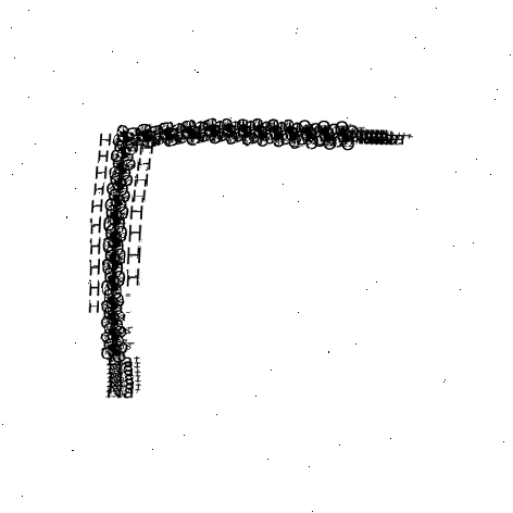 O=S(=O)(O)O.O=S(=O)(O)O.O=S(=O)(O)O.O=S(=O)(O)O.O=S(=O)(O)O.O=S(=O)(O)O.O=S(=O)(O)O.O=S(=O)(O)O.O=S(=O)(O)O.O=S(=O)(O)O.O=S(=O)(O)O.O=S(=O)(O)O.O=S(=O)(O)O.O=S(=O)(O)O.O=S(=O)(O)O.O=S(=O)(O)O.O=S(=O)(O)O.O=S(=O)([O-])O.O=S(=O)([O-])[O-].O=S(=O)([O-])[O-].O=S(=O)([O-])[O-].O=S(=O)([O-])[O-].O=S(=O)([O-])[O-].O=S(=O)([O-])[O-].O=S(=O)([O-])[O-].[Na+].[Na+].[Na+].[Na+].[Na+].[Na+].[Na+].[Na+].[Na+].[Na+].[Na+].[Na+].[Na+].[Na+].[Na+]